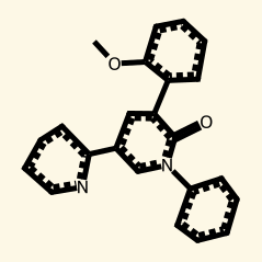 COc1ccccc1-c1cc(-c2ccccn2)cn(-c2ccccc2)c1=O